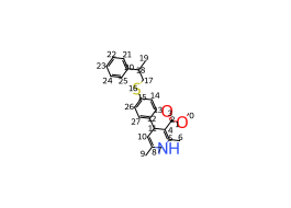 COC(=O)C1=C(C)NC(C)=CC1c1ccc(SCC(C)c2ccccc2)cc1